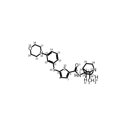 C[C@H]1[C@H](NC(=O)c2ccc(Sc3cccc(N4CCOCC4)c3)s2)C2CCN1CC2